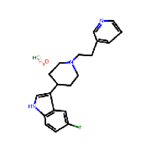 Cl.Fc1ccc2[nH]cc(C3CCN(CCc4cccnc4)CC3)c2c1.O